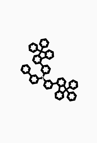 c1ccc(-c2cccc(N(c3cccc(-c4cccc5c4-c4ccccc4C5(c4ccccc4)c4ccccc4)c3)c3cccc(-c4cccc5c4-c4ccccc4C5(c4ccccc4)c4ccccc4)c3)c2)cc1